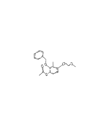 COCOc1ccc(OC(C)=O)c(OCc2ccccc2)c1C